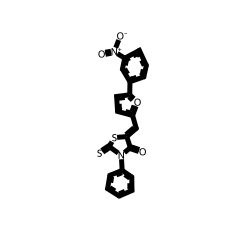 O=C1C(=Cc2ccc(-c3cccc([N+](=O)[O-])c3)o2)SC(=S)N1c1ccccc1